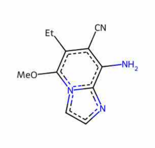 CCc1c(C#N)c(N)c2nccn2c1OC